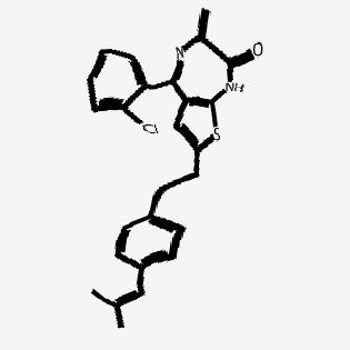 CC(C)=Cc1ccc(CCc2cc3c(s2)NC(=O)C(C)N=C3c2ccccc2Cl)cc1